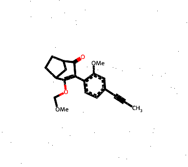 CC#Cc1ccc(C2=C(OCOC)C3CCC(C3)C2=O)c(OC)c1